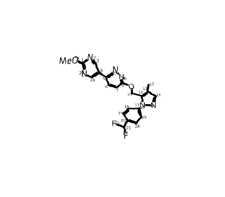 COc1ncc(-c2ccc(OCc3c(C)cnn3-c3ccc(C(F)F)cc3)nn2)cn1